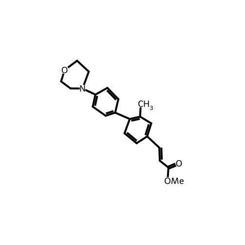 COC(=O)/C=C/c1ccc(-c2ccc(N3CCOCC3)cc2)c(C)c1